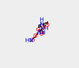 CNOCCOCCNC(=O)[C@H](CC(C)=O)NC1CCC1N[C@@H](CC(C)=O)C(C)=O